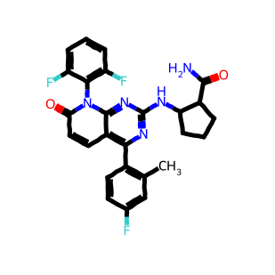 Cc1cc(F)ccc1-c1nc(NC2CCCC2C(N)=O)nc2c1ccc(=O)n2-c1c(F)cccc1F